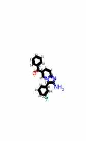 Nc1nc2ccc(C(=O)c3ccccc3)cn2c1-c1cccc(F)c1